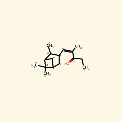 CCC(=O)C(C)=CC1CC2CC(C1C)C2(C)C